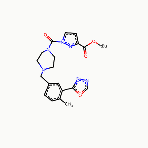 Cc1ccc(CN2CCN(C(=O)n3ccc(C(=O)OC(C)(C)C)n3)CC2)cc1-c1nnco1